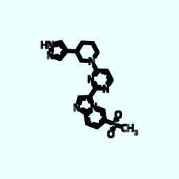 CS(=O)(=O)c1ccc2ncc(-c3nccc(N4CCCC(c5cn[nH]c5)C4)n3)n2c1